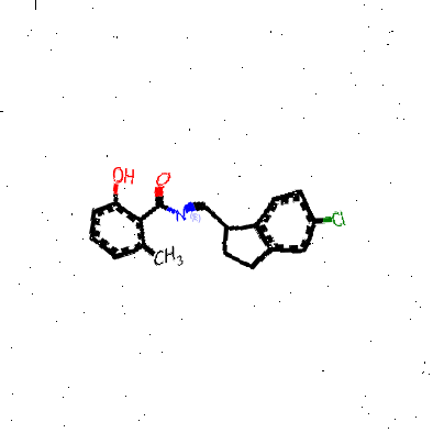 Cc1cccc(O)c1C(=O)/N=C/C1CCc2cc(Cl)ccc21